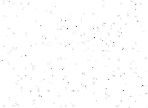 COC(=O)N[C@H](C(=O)N[C@H](C(=O)N1C[C@H](ON=C2c3ccccc3-c3ccccc32)C[C@H]1C(=O)N[C@]1(C(=O)NS(=O)(=O)C2CC2)C[C@H]1C(F)F)C(C)(C)C)C1CCCCC1